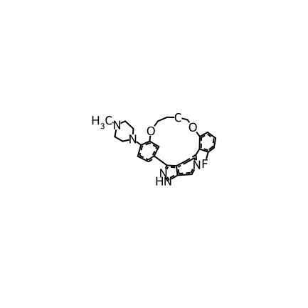 CN1CCN(c2ccc3cc2OCCCCOc2cccc(F)c2-c2cc4c-3n[nH]c4cn2)CC1